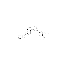 CC(C)Oc1ccc(-c2nc(-c3cccc4c3CC[C@@H]4NC(=O)N3CCCC3)no2)cc1C#N